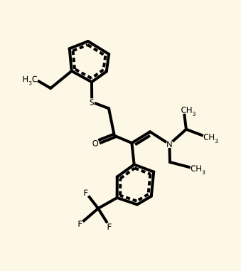 CCc1ccccc1SCC(=O)C(=CN(CC)C(C)C)c1cccc(C(F)(F)F)c1